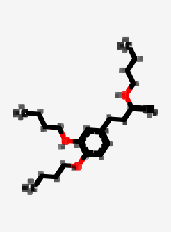 C=C(CCc1ccc(OCCCC)c(OCCCC)c1)OCCCC